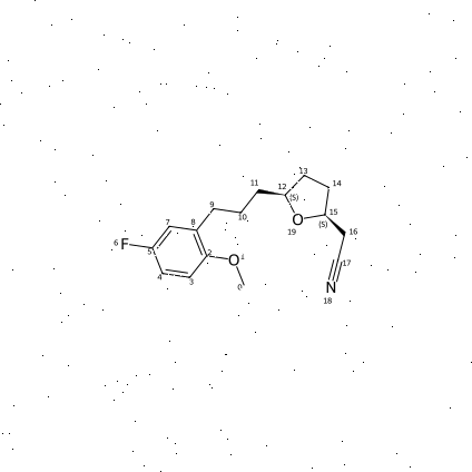 COc1ccc(F)cc1CCC[C@H]1CC[C@@H](CC#N)O1